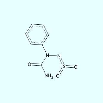 NC(=O)N(N=S(=O)=O)c1ccccc1